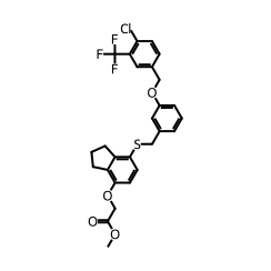 COC(=O)COc1ccc(SCc2cccc(OCc3ccc(Cl)c(C(F)(F)F)c3)c2)c2c1CCC2